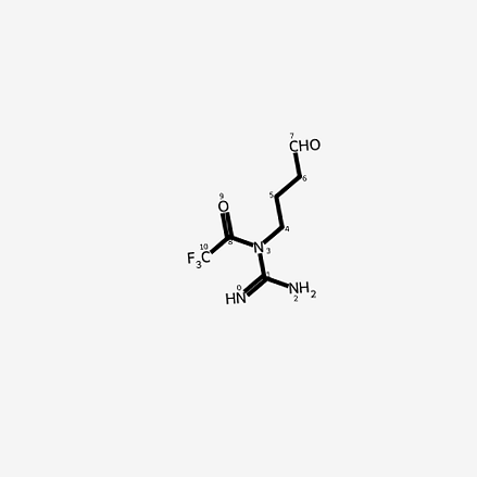 N=C(N)N(CCCC=O)C(=O)C(F)(F)F